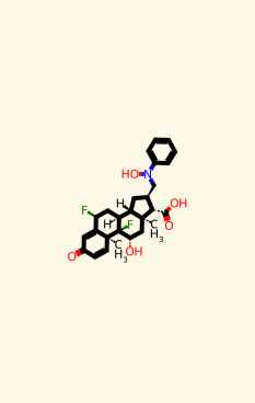 C[C@]12C[C@H](O)[C@@]3(F)[C@@H](C[C@H](F)C4=CC(=O)C=C[C@@]43C)[C@@H]1C[C@@H](CN(O)c1ccccc1)[C@@H]2C(=O)O